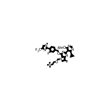 COc1ncnc(C2CC2)c1-c1nc(OCc2ccc(-c3nc(C(F)(F)F)cn3C)c(F)c2)c2c(n1)c(F)cn2COCC[Si](C)(C)C